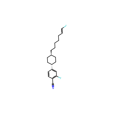 N#Cc1ccc([C@H]2CC[C@H](CCCCCC=CF)CC2)cc1F